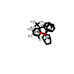 C[SiH](C)OC(c1cccnc1C1(O)CC2CCC(C1)N2C(c1ccccc1Cl)c1ccccc1Cl)C(C)(C)C